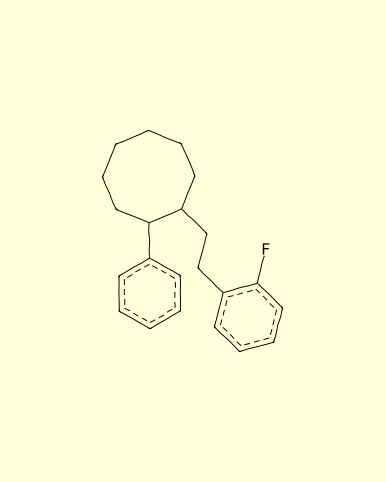 Fc1ccccc1CCC1CCCCCCC1c1ccccc1